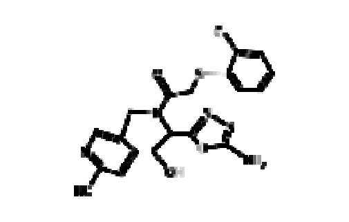 N#Cc1ccc(CN(C(=O)CSc2ccccc2Cl)C(CO)c2nnc(N)o2)cn1